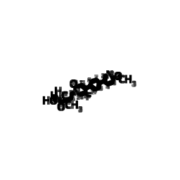 COc1ccc(-c2ccc(-c3cc(=O)n(CCC(C)(C)C(=O)NO)cc3F)cc2)cn1